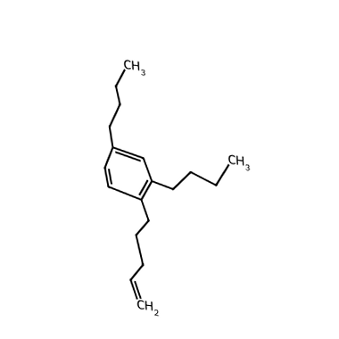 C=CCCCc1ccc(CCCC)cc1CCCC